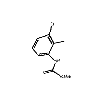 CNC(=S)Nc1cccc(Cl)c1C